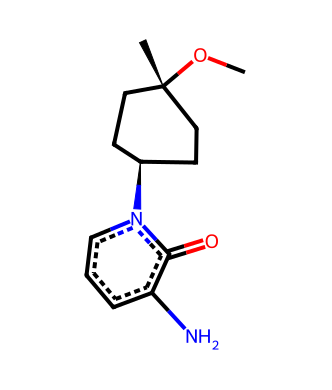 CO[C@]1(C)CC[C@@H](n2cccc(N)c2=O)CC1